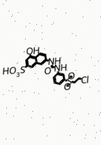 O=C(Nc1cccc(S(=O)(=O)CCCl)c1)Nc1ccc2c(O)cc(S(=O)(=O)O)cc2c1